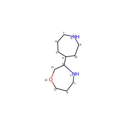 C1CNC(C2CCCNCC2)COC1